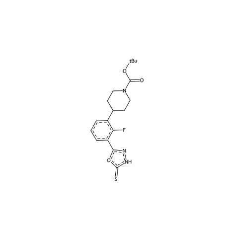 CC(C)(C)OC(=O)N1CCC(c2cccc(-c3n[nH]c(=S)o3)c2F)CC1